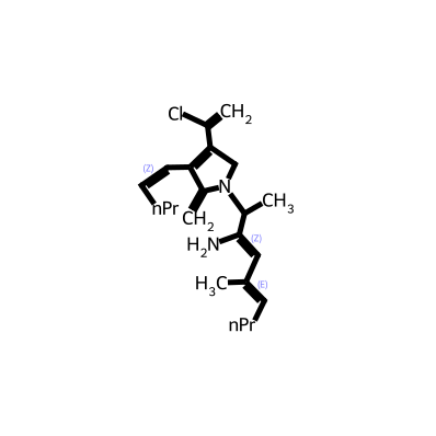 C=C(Cl)C1=C(/C=C\CCC)C(=C)N(C(C)/C(N)=C/C(C)=C/CCC)C1